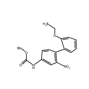 BCOc1ccccc1-c1ccc(NC(=O)OC(C)(C)C)cc1[N+](=O)[O-]